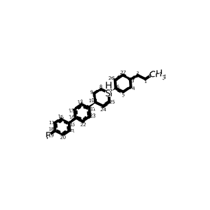 CCCC1CCC([Si@H]2CC[C@H](c3ccc(-c4ccc(F)cc4)cc3)CC2)CC1